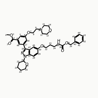 COC(=O)c1cc(OCCN2CCOCC2)cc(-c2nn(C3CCCCO3)c3ccc(OCCCNC(=O)OCc4ccccc4)cc23)c1